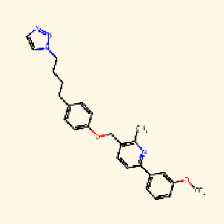 Cc1nc(-c2cccc(OC(F)(F)F)c2)ccc1COc1ccc(CCCCn2ccnn2)cc1